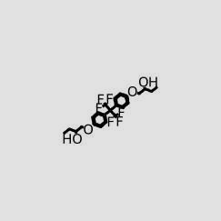 CCC(O)COc1ccc(C(c2ccc(OCC(O)CC)cc2)(C(F)(F)F)C(F)(F)F)cc1